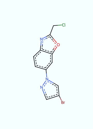 ClCc1nc2ccc(-n3cc(Br)cn3)cc2o1